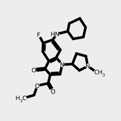 CCOC(=O)c1cn(C2CCN(C)C2)c2cc(NC3CCCCC3)c(F)cc2c1=O